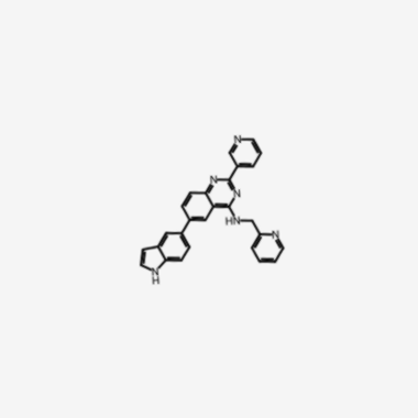 c1ccc(CNc2nc(-c3cccnc3)nc3ccc(-c4ccc5[nH]ccc5c4)cc23)nc1